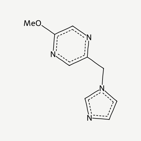 COc1cnc(Cn2ccnc2)cn1